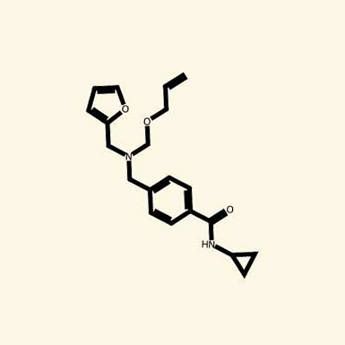 C=CCOCN(Cc1ccc(C(=O)NC2CC2)cc1)Cc1ccco1